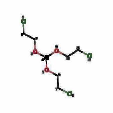 ClCC[O][Al]([O]CCCl)[O]CCCl